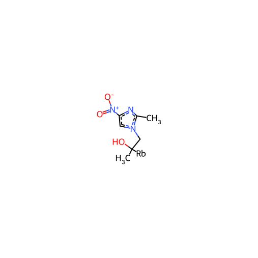 Cc1nc([N+](=O)[O-])cn1C[C](C)(O)[Rb]